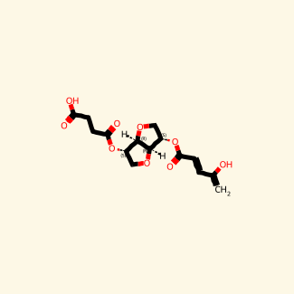 C=C(O)C=CC(=O)O[C@H]1CO[C@H]2[C@@H]1OC[C@@H]2OC(=O)CCC(=O)O